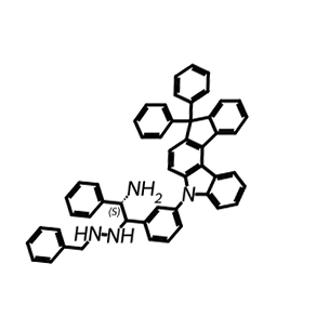 N[C@@H](c1ccccc1)C(NNCc1ccccc1)c1cccc(-n2c3ccccc3c3c4c(ccc32)C(c2ccccc2)(c2ccccc2)c2ccccc2-4)c1